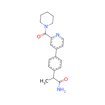 CC(C(N)=O)c1ccc(-c2ccnc(C(=O)N3CCCCC3)c2)cc1